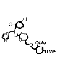 COc1ccc(COCC2CCCC(OC(Cn3ccnc3)c3ccc(Cl)cc3Cl)O2)c(OC)c1